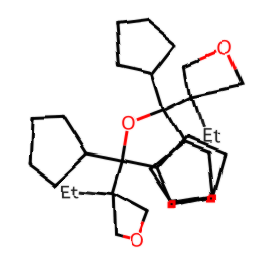 CCC1(C(OC(C2CCCC2)(C2CCCC2)C2(CC)COC2)(C2CCCC2)C2CCCC2)COC1